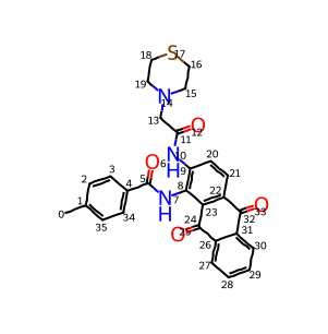 Cc1ccc(C(=O)Nc2c(NC(=O)CN3CCSCC3)ccc3c2C(=O)c2ccccc2C3=O)cc1